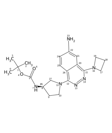 CC(C)(C)OC(=O)N[C@@H]1CCN(c2nnc(N3CCC3)c3cc(N)ccc23)C1